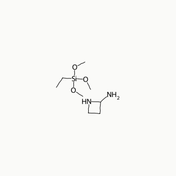 CC[Si](OC)(OC)OC.NC1CCN1